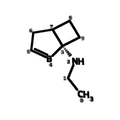 CCN[C@]12B=CCC1CC2